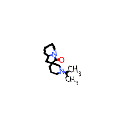 CC(C)N1CCCC2(CC3CCCCN3C2=O)C1